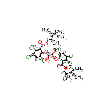 CC(COC(=O)c1c(Cl)c(Cl)cc(Cl)c1OC(=O)C(=O)Oc1c(Cl)cc(Cl)c(Cl)c1C(=O)OCC(C)C1C(C)C1(C)C)C1C(C)C1(C)C